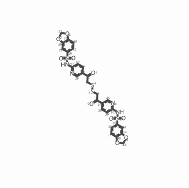 O=C(CSSCC(=O)c1ccc(NS(=O)(=O)c2ccc3c(c2)OCO3)nc1)c1ccc(NS(=O)(=O)c2ccc3c(c2)OCO3)nc1